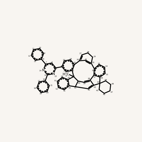 CC12c3cc(-c4cc(-c5ccccc5)nc(-c5ccccc5)n4)ccc3C3=CCCC(=C3)c3cccc4c3C3=CC1C(C=C3C41CCCCC1)c1ccccc12